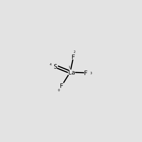 [F][La]([F])([F])=[S]